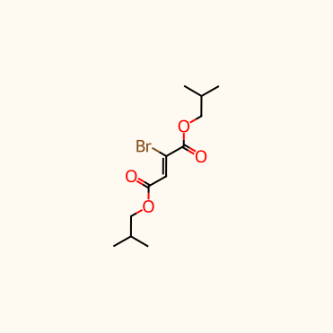 CC(C)COC(=O)C=C(Br)C(=O)OCC(C)C